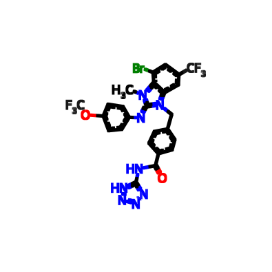 Cn1c(=Nc2ccc(OC(F)(F)F)cc2)n(Cc2ccc(C(=O)Nc3nnn[nH]3)cc2)c2cc(C(F)(F)F)cc(Br)c21